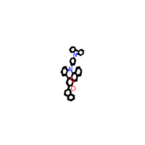 c1ccc(N(c2ccc(-n3c4ccccc4c4ccccc43)cc2)c2cccc3ccccc23)c(-c2ccc3oc4c5ccccc5ccc4c3c2)c1